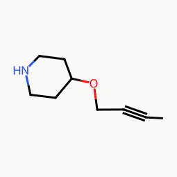 CC#CCOC1CCNCC1